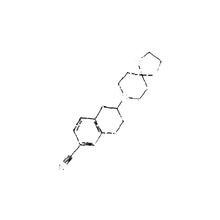 N#Cc1ccc2c(c1)CCC(N1CCC3(CC1)OCCO3)C2